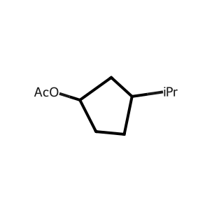 CC(=O)OC1CCC(C(C)C)C1